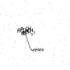 CCCCCC/C=C\CCCCCCCCCCOP(=O)(O)C(CCC)[N+](C)(C)C